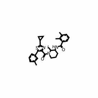 Cc1cccc(-c2sc(C3CC3)nc2C(=O)N2CCCC(NC(=O)c3cccc(C)c3C)C2I)c1